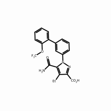 CCc1c(C(=O)O)nn(-c2cccc(-c3ccccc3OC(F)(F)F)c2)c1C(N)=O